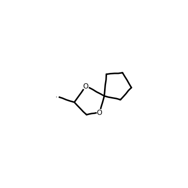 [CH2]C1COC2(CCCC2)O1